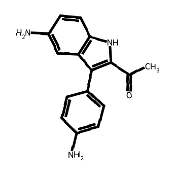 CC(=O)c1[nH]c2ccc(N)cc2c1-c1ccc(N)cc1